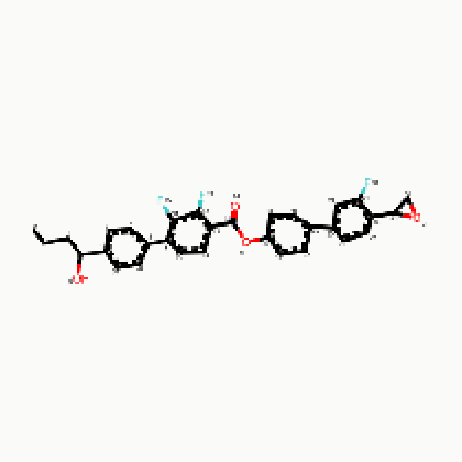 CCCC(O)c1ccc(-c2ccc(C(=O)Oc3ccc(-c4ccc(C5CO5)c(F)c4)cc3)c(F)c2F)cc1